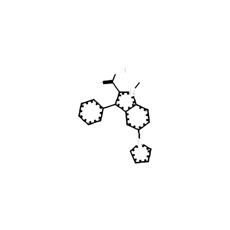 Cn1c(C(=O)O)c(-c2ccccc2)c2cc(-n3cccc3)ccc21